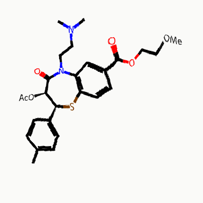 COCCOC(=O)c1ccc2c(c1)N(CCN(C)C)C(=O)[C@H](OC(C)=O)[C@H](c1ccc(C)cc1)S2